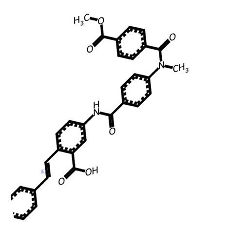 COC(=O)c1ccc(C(=O)N(C)c2ccc(C(=O)Nc3ccc(/C=C/c4ccccc4)c(C(=O)O)c3)cc2)cc1